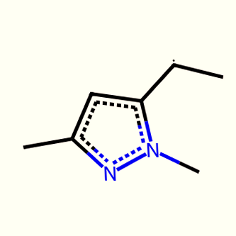 C[CH]c1cc(C)nn1C